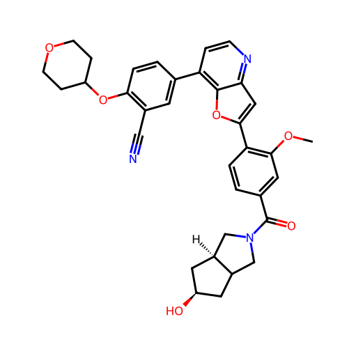 COc1cc(C(=O)N2CC3C[C@@H](O)C[C@H]3C2)ccc1-c1cc2nccc(-c3ccc(OC4CCOCC4)c(C#N)c3)c2o1